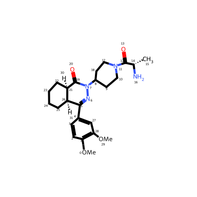 COc1ccc(C2=NN(C3CCN(C(=O)[C@H](C)N)CC3)C(=O)[C@@H]3CCCC[C@H]23)cc1OC